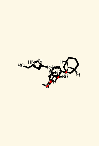 COc1cc(Nc2cc(CO)[nH]n2)nc(N[C@H]2C[C@H]3CCC[C@@H](C2)N3Cc2ccnc(C#N)c2)n1